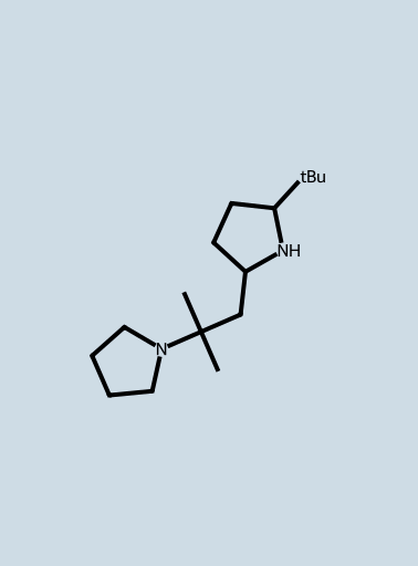 CC(C)(C)C1CCC(CC(C)(C)N2CCCC2)N1